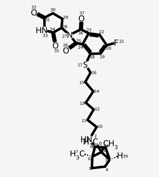 CC1(C)[C@@H]2CC[C@@]1(C)[C@@H](NCCCCCCCSc1cc(F)cc3c1C(=O)N(C1CCC(=O)NC1=O)C3=O)C2